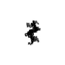 CCCC(CCOC(=O)c1c(Cl)c(Cl)cc(Cl)c1OC(=O)C(=O)Oc1c(Cl)cc(Cl)c(Cl)c1C(=O)OCCC(CCC)C(C)C)C(C)C